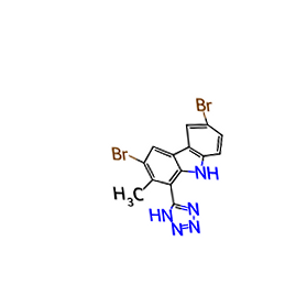 Cc1c(Br)cc2c([nH]c3ccc(Br)cc32)c1-c1nnn[nH]1